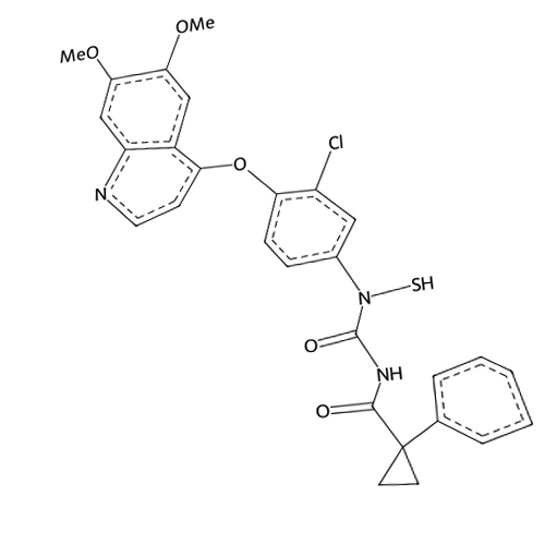 COc1cc2nccc(Oc3ccc(N(S)C(=O)NC(=O)C4(c5ccccc5)CC4)cc3Cl)c2cc1OC